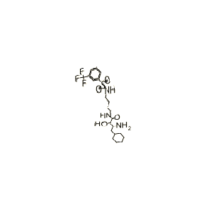 N[C@H](CC1CCCCC1)C(O)C(=O)NCCCCNS(=O)(=O)c1cccc(C(F)(F)F)c1